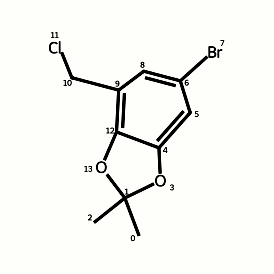 CC1(C)Oc2cc(Br)cc(CCl)c2O1